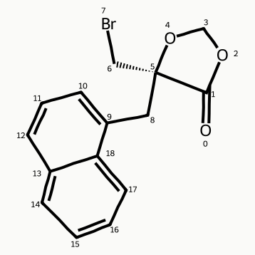 O=C1OCO[C@]1(CBr)Cc1cccc2ccccc12